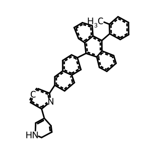 Cc1ccccc1-c1c2ccccc2c(-c2ccc3cc(-c4cccc(C5=CNCC=C5)n4)ccc3c2)c2ccccc12